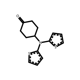 O=C1CCC(N(c2cccs2)c2cccs2)CC1